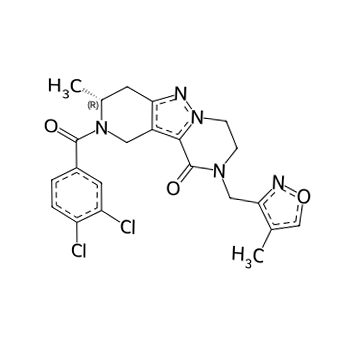 Cc1conc1CN1CCn2nc3c(c2C1=O)CN(C(=O)c1ccc(Cl)c(Cl)c1)[C@H](C)C3